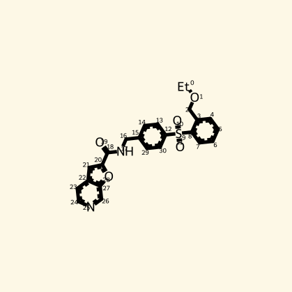 CCOCc1ccccc1S(=O)(=O)c1ccc(CNC(=O)c2cc3ccncc3o2)cc1